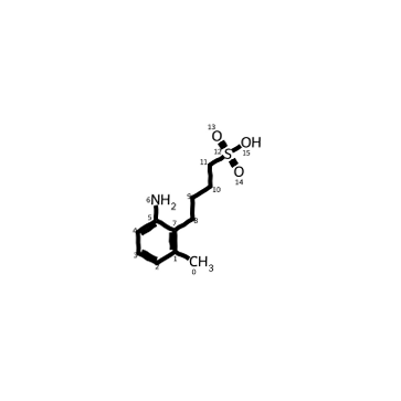 Cc1cccc(N)c1CCCCS(=O)(=O)O